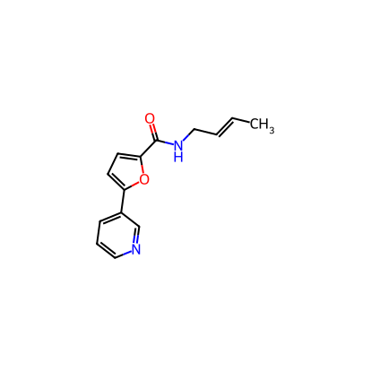 C/C=C/CNC(=O)c1ccc(-c2cccnc2)o1